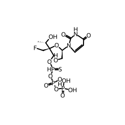 C[C@H](O)[C@@](CF)(CO[PH](=S)OP(=O)(O)OP(=O)(O)O)O[C@H](CO)n1ccc(=O)[nH]c1=O